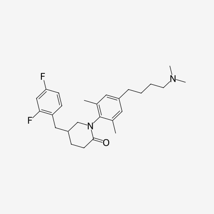 Cc1cc(CCCCN(C)C)cc(C)c1N1CC(Cc2ccc(F)cc2F)CCC1=O